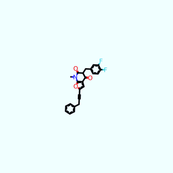 CN1C(=O)C(Cc2ccc(F)c(F)c2)C(=O)c2cc(C#CCc3ccccc3)oc21